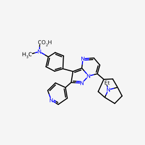 CCN1C2CCC1CC(c1ccnc3c(-c4ccc(N(C)C(=O)O)cc4)c(-c4ccncc4)nn13)C2